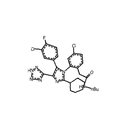 CCCCNC(=O)Cc1ccc(Cl)cc1-n1c(C2CCCCC2)nc(-c2nn[nH]n2)c1-c1ccc(F)c(Cl)c1